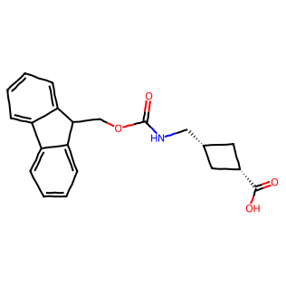 O=C(NC[C@H]1C[C@@H](C(=O)O)C1)OCC1c2ccccc2-c2ccccc21